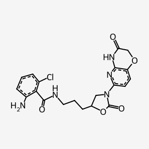 Nc1cccc(Cl)c1C(=O)NCCCC1CN(c2ccc3c(n2)NC(=O)CO3)C(=O)O1